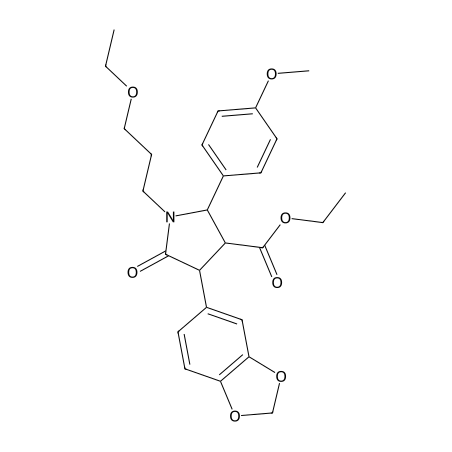 CCOCCCN1C(=O)C(c2ccc3c(c2)OCO3)C(C(=O)OCC)C1c1ccc(OC)cc1